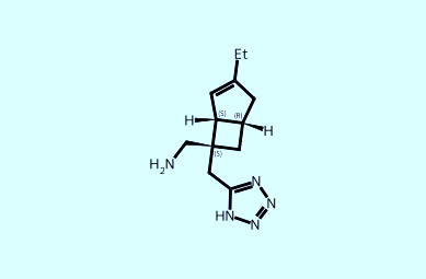 CCC1=C[C@@H]2[C@H](C1)C[C@]2(CN)Cc1nnn[nH]1